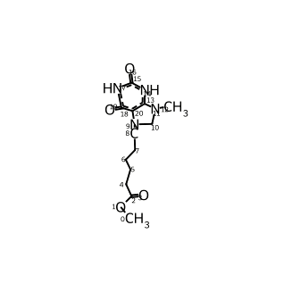 COC(=O)CCCCCN1CN(C)c2[nH]c(=O)[nH]c(=O)c21